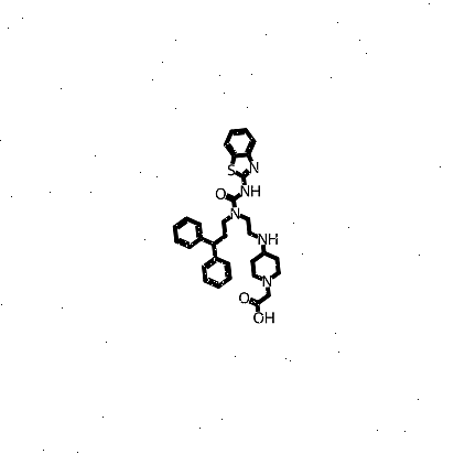 O=C(O)CN1CCC(NCCN(CCC(c2ccccc2)c2ccccc2)C(=O)Nc2nc3ccccc3s2)CC1